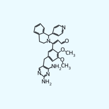 COc1cc(Cc2cnc(N)nc2N)cc(C(=CC=O)N2CCc3ccccc3C2c2ccncc2)c1OC